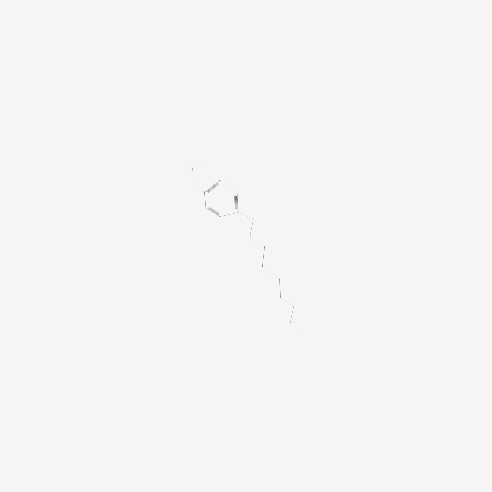 CCCCCCCCc1ccc(OC)cc1